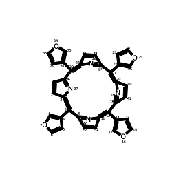 C1=CC2=C(c3ccoc3)C3=NC(=C(c4ccoc4)C4=NC(=C(c5ccoc5)C5=NC(=C(c6ccoc6)C1=N2)C=C5)C=C4)C=C3